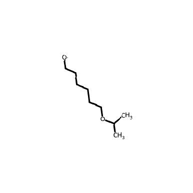 CC(C)OCCCCCC[O]